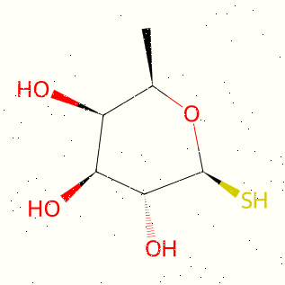 C[C@H]1O[C@@H](S)[C@H](O)[C@@H](O)[C@H]1O